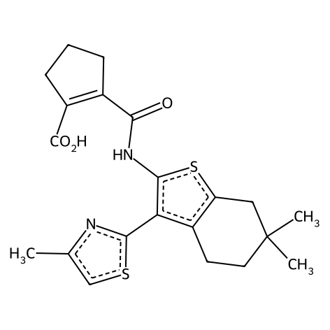 Cc1csc(-c2c(NC(=O)C3=C(C(=O)O)CCC3)sc3c2CCC(C)(C)C3)n1